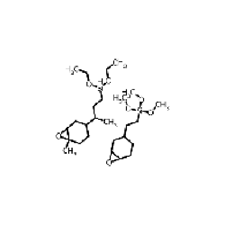 CCO[SiH](CCC(C)C1CCC2(C)OC2C1)OCC.CO[Si](CCC1CCC2OC2C1)(OC)OC